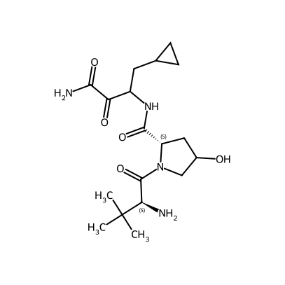 CC(C)(C)[C@H](N)C(=O)N1CC(O)C[C@H]1C(=O)NC(CC1CC1)C(=O)C(N)=O